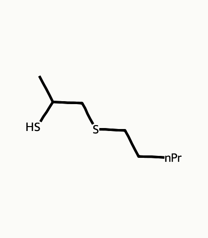 CCCCCSCC(C)S